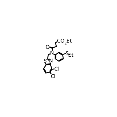 CCOC(=O)CCC(=O)N(Cc1nc2c(Cl)c(Cl)ccc2s1)c1cccc(SCC)c1